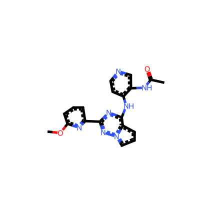 COc1cccc(-c2nc(Nc3ccncc3NC(C)=O)c3cccn3n2)n1